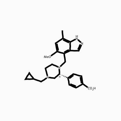 COc1cc(C)c2[nH]ncc2c1CN1CCN(CC2CC2)C[C@H]1c1ccc(C(=O)O)cc1